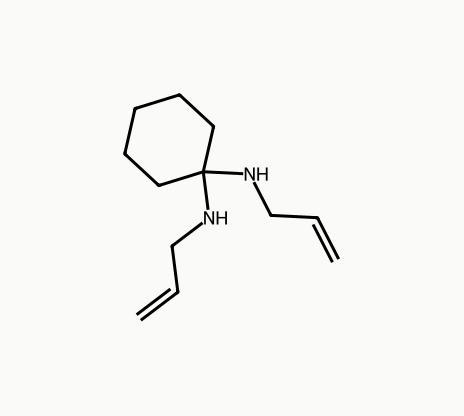 C=CCNC1(NCC=C)CCCCC1